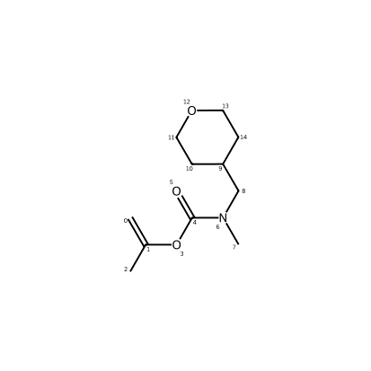 C=C(C)OC(=O)N(C)CC1CCOCC1